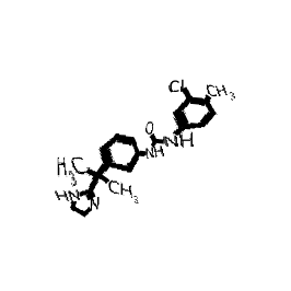 Cc1ccc(NC(=O)Nc2cccc(C(C)(C)C3=NCCN3)c2)cc1Cl